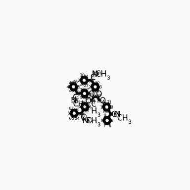 CN=C=C(c1ccccc1)c1ccc(OCC(Oc2ccc(C(=C=NC)c3ccccc3)cc2)C(Oc2ccc(C(=C=NC)c3ccccc3)cc2)C(C)Oc2ccc(C(=C=NC)c3ccccc3)cc2)cc1